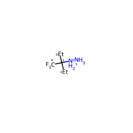 CCC(N)(CC)C(F)(F)F.N